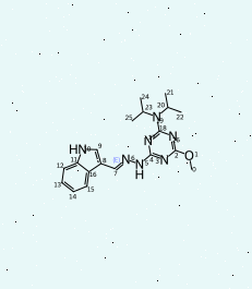 COc1nc(N/N=C/c2c[nH]c3ccccc23)nc(N(C(C)C)C(C)C)n1